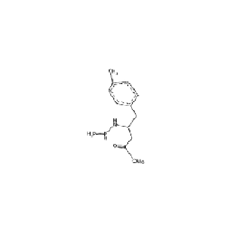 COC(=O)CC(Cc1ccc(C)cc1)NPP